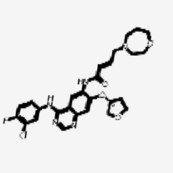 O=C(C=CCN1CCCOCC1)Nc1cc2c(Nc3ccc(F)c(Cl)c3)ncnc2cc1O[C@H]1CCOC1